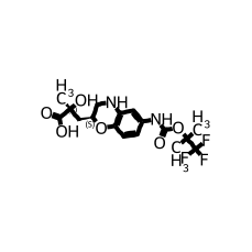 CC(C)(OC(=O)Nc1ccc2c(c1)NC[C@H](C[C@@](C)(O)C(=O)O)O2)C(F)(F)F